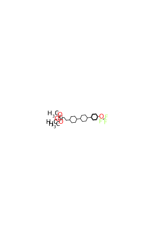 CO[Si](CCC1CCC(C2CCC(c3ccc(OC(F)(F)F)cc3)CC2)CC1)(OC)OC